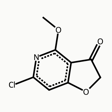 COc1nc(Cl)cc2c1C(=O)CO2